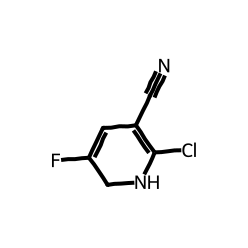 N#CC1=C(Cl)NCC(F)=C1